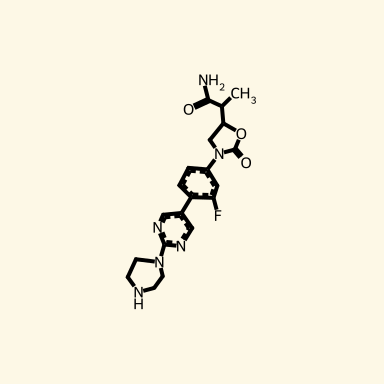 CC(C(N)=O)C1CN(c2ccc(-c3cnc(N4CCNCC4)nc3)c(F)c2)C(=O)O1